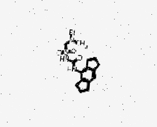 CCN(C)CS(=O)(=O)NC(=O)Nc1c2c(cc3c1CCC3)CCC2